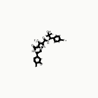 Cc1ccc(-c2cn3nc(C(=O)NC(c4ccc(F)cc4)C(C)(C)O)c(C(F)(F)F)c3c(=O)[nH]2)cc1F